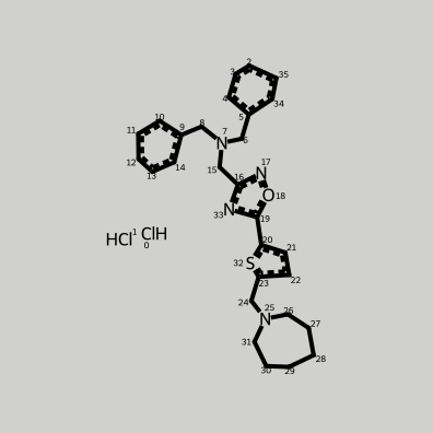 Cl.Cl.c1ccc(CN(Cc2ccccc2)Cc2noc(-c3ccc(CN4CCCCCC4)s3)n2)cc1